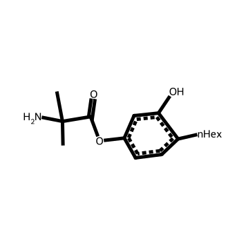 CCCCCCc1ccc(OC(=O)C(C)(C)N)cc1O